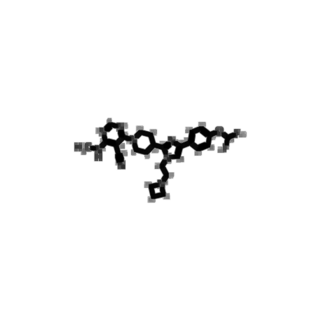 CNc1ncnc(N2CCC(c3nc(-c4ccc(OC(F)F)cc4)cn3CCN3CCC3)CC2)c1C#N